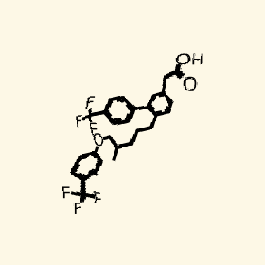 CC(CCCc1ccc(CC(=O)O)cc1-c1ccc(C(F)(F)F)cc1)COc1ccc(C(F)(F)F)cc1